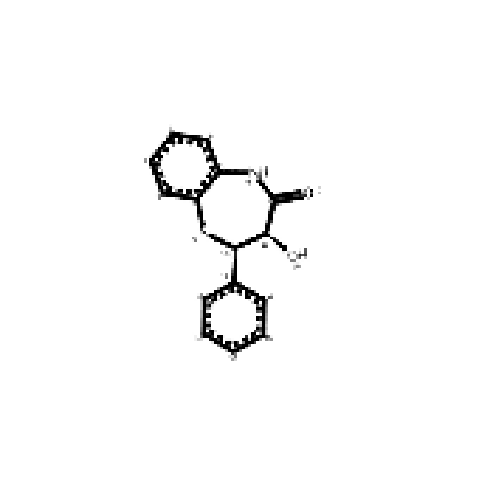 O=C1Nc2ccccc2S[C@H](c2ccccc2)[C@@H]1O